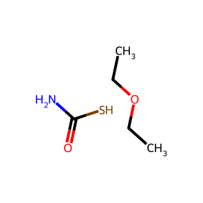 CCOCC.NC(=O)S